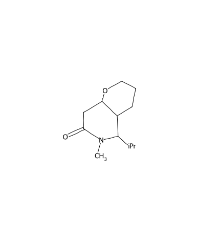 CC(C)C1C2CCCOC2CC(=O)N1C